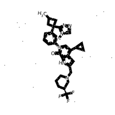 CC1CC(c2cccc(-n3cc(C4CC4)c4cc(CN5CCC[C@H](C(F)(F)F)C5)[nH]c4c3=O)c2)(c2nncn2C)C1